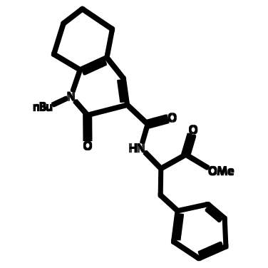 CCCCn1c2c(cc(C(=O)NC(Cc3ccccc3)C(=O)OC)c1=O)CCCC2